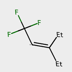 CCC(=[C]C(F)(F)F)CC